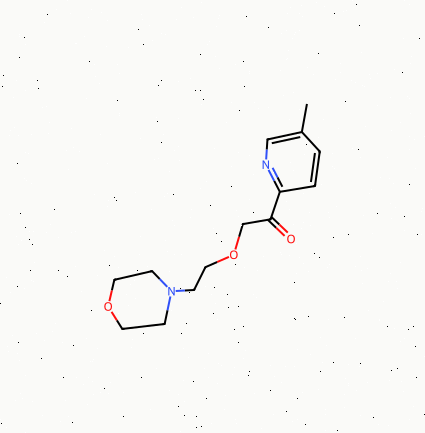 Cc1ccc(C(=O)COCCN2CCOCC2)nc1